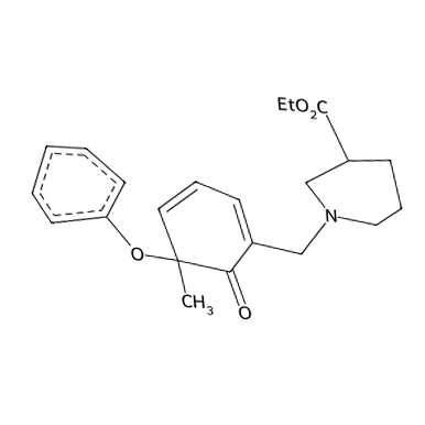 CCOC(=O)C1CCCN(CC2=CC=CC(C)(Oc3ccccc3)C2=O)C1